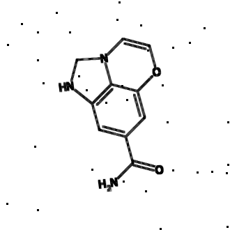 NC(=O)c1cc2c3c(c1)OC=CN3CN2